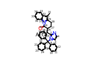 CC(=O)OC(c1nccn1C(c1ccccc1)(c1ccccc1)c1ccccc1)C1CCc2c(C)c3ccccc3n2C1=O